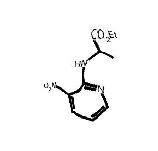 CCOC(=O)C(C)Nc1ncccc1[N+](=O)[O-]